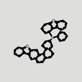 c1ccc(N(c2ccc3c(ccc4ccc5cc6c(cc5c43)oc3ccccc36)c2)c2cccc3oc4ccccc4c23)cc1